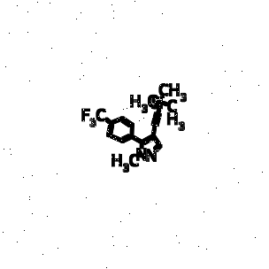 Cn1ncc(C#C[Si](C)(C)C)c1-c1ccc(C(F)(F)F)cc1